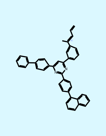 C=C/C=C(\C)c1cccc(-c2cc(-c3ccc(-c4ccccc4)cc3)nc(-c3ccc(-c4cccc5ccccc45)cc3)n2)c1